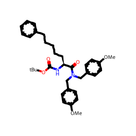 COc1ccc(CN(Cc2ccc(OC)cc2)C(=O)[C@H](CCC[CH]Cc2ccccc2)NC(=O)OC(C)(C)C)cc1